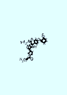 CC#CC(=O)N1CCC(c2cnn3c(C(N)=O)c(-c4ccc(Oc5ccccc5F)cc4)[nH]c23)C1